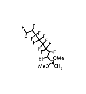 CCC(C(F)C(F)(F)C(F)(F)C(F)(F)C(F)(F)C(F)C(F)F)[Si](C)(OC)OC